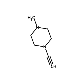 C#CN1CCN(C)CC1